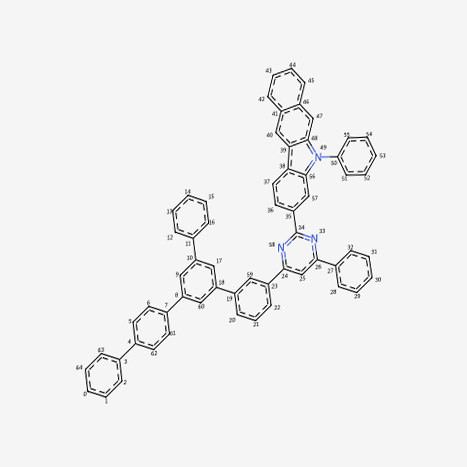 c1ccc(-c2ccc(-c3cc(-c4ccccc4)cc(-c4cccc(-c5cc(-c6ccccc6)nc(-c6ccc7c8cc9ccccc9cc8n(-c8ccccc8)c7c6)n5)c4)c3)cc2)cc1